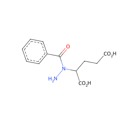 NN(C(=O)c1ccccc1)C(CCC(=O)O)C(=O)O